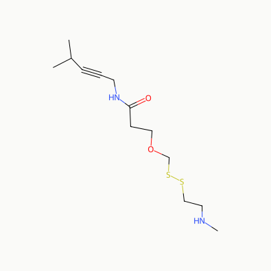 CNCCSSCOCCC(=O)NCC#CC(C)C